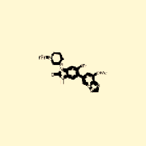 CCCN1CCC[C@H](n2c(=O)[nH]c3cc(-c4cc(OC)c5ncnn5c4)c(C(C)C)cc32)C1